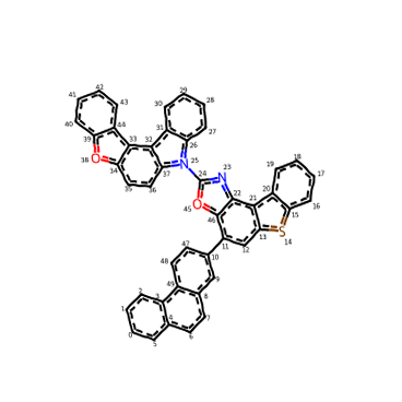 c1ccc2c(c1)ccc1cc(-c3cc4sc5ccccc5c4c4nc(-n5c6ccccc6c6c7c(ccc65)oc5ccccc57)oc34)ccc12